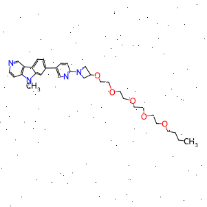 CCCCOCCOCCOCCOCCOC1CN(c2ccc(-c3ccc4c5cnccc5n(C)c4c3)cn2)C1